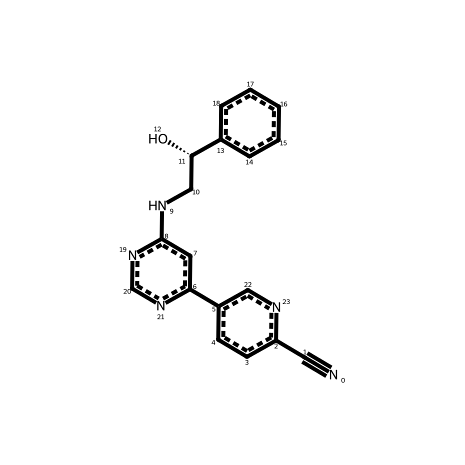 N#Cc1ccc(-c2cc(NC[C@H](O)c3ccccc3)ncn2)cn1